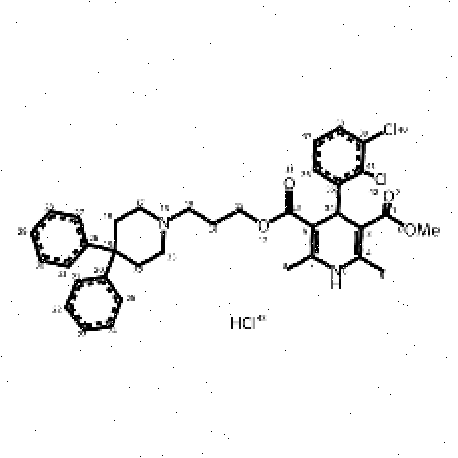 COC(=O)C1=C(C)NC(C)=C(C(=O)OCCCN2CCC(c3ccccc3)(c3ccccc3)CC2)C1c1cccc(Cl)c1Cl.Cl